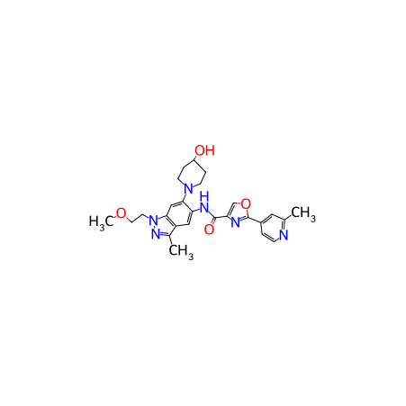 COCCn1nc(C)c2cc(NC(=O)c3coc(-c4ccnc(C)c4)n3)c(N3CCC(O)CC3)cc21